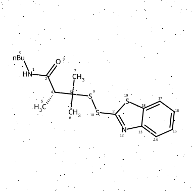 CCCCNC(=O)[C@@H](C)C(C)(C)SSc1nc2ccccc2s1